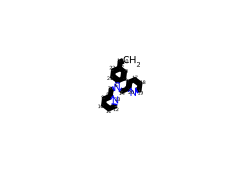 C=Cc1ccc(N(Cc2ccccn2)Cc2ccccn2)cc1